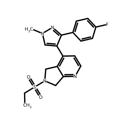 CCS(=O)(=O)N1Cc2nccc(-c3cn(C)nc3-c3ccc(F)cc3)c2C1